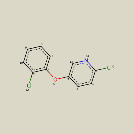 Clc1ccc(Oc2ccccc2Cl)cn1